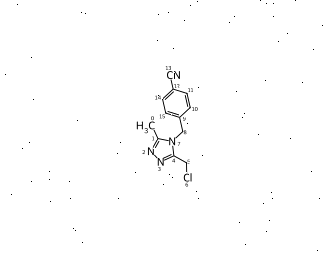 Cc1nnc(CCl)n1Cc1ccc(C#N)cc1